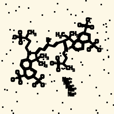 CC(CCN1/C(=C/C=C(Br)/C=C/C2=[N+](CCC(C)S(=O)(=O)[O-])c3ccc4c(S(=O)(=O)[O-])cc(S(=O)(=O)[O-])cc4c3C2(C)C)C(C)(C)c2c1ccc1c(S(=O)(=O)[O-])cc(S(=O)(=O)[O-])cc21)S(=O)(=O)[O-].[Na+].[Na+].[Na+].[Na+].[Na+]